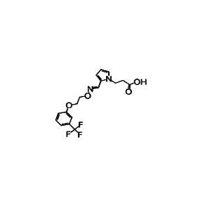 O=C(O)CCn1cccc1C=NOCCOc1cccc(C(F)(F)F)c1